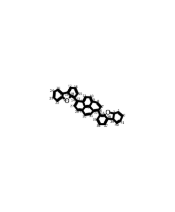 C1=CC2Oc3c(-c4ccc5ccc6c(-c7cccc8c7oc7ccccc78)ccc7ccc4c5c76)cccc3C2C=C1